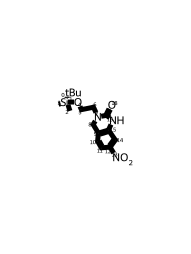 CC(C)(C)[Si](C)(C)OCCN1Cc2ccc([N+](=O)[O-])cc2NC1=O